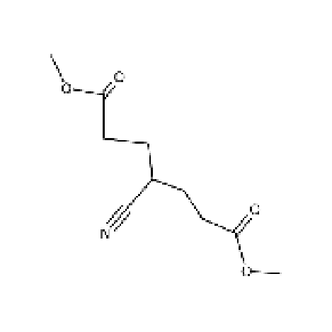 COC(=O)CCC(C#N)CCC(=O)OC